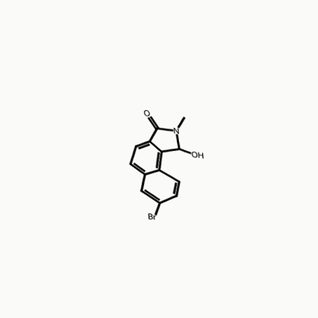 CN1C(=O)c2ccc3cc(Br)ccc3c2C1O